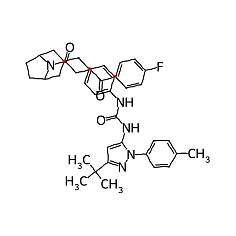 Cc1ccc(-n2nc(C(C)(C)C)cc2NC(=O)Nc2ccc(CC3CC4CCC(C3)N4C(=O)CCC(=O)c3ccc(F)cc3)cc2)cc1